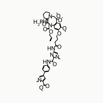 C=CCOC(=O)N1c2cc(OCCCC(=O)Nc3cn(C)c(C(=O)Nc4ccc(-c5cc(C(=O)OC)n(C)c5)cc4)n3)c(OC)cc2C(OC)(OC)CN2CCCC[C@H]2[C@@H]1OP